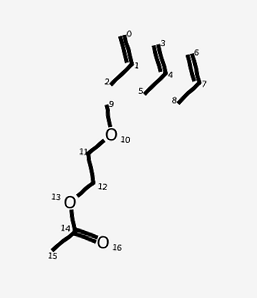 C=CC.C=CC.C=CC.COCCOC(C)=O